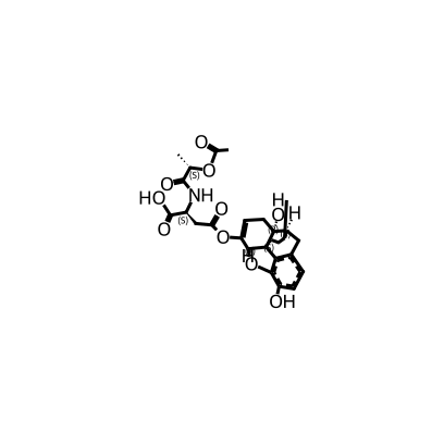 CC(=O)O[C@@H](C)C(=O)N[C@@H](CC(=O)OC1=CC[C@@]2(O)[C@H]3Cc4ccc(O)c5c4[C@@]2(CCC3C)[C@H]1O5)C(=O)O